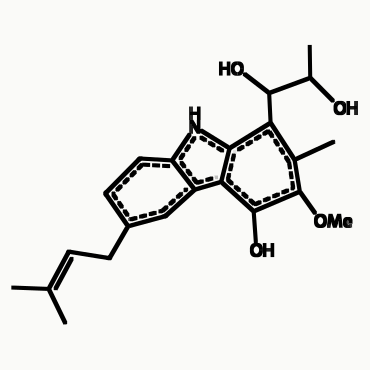 COc1c(C)c(C(O)C(C)O)c2[nH]c3ccc(CC=C(C)C)cc3c2c1O